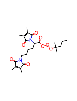 CCCC(C)(C)OOOC(=O)C(CCCCN1C(=O)C(C)=C(C)C1=O)N1C(=O)C(C)=C(C)C1=O